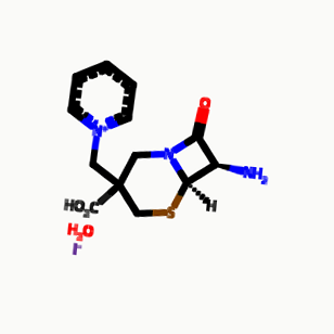 N[C@@H]1C(=O)N2CC(C[n+]3ccccc3)(C(=O)O)CS[C@H]12.O.[I-]